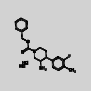 Cc1ccc(C2CCN(C(=O)OCc3ccccc3)CC2N)cc1F.Cl.Cl